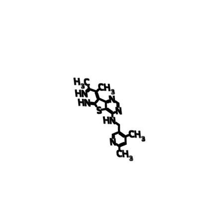 CC(=N)/C(C)=C1\C(=N)Sc2c(NCc3cnc(C)cc3C)ncnc21